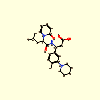 Cc1ccc([C@H](CC(=O)O)NC(=O)C(CC(C)C)n2ccccc2=O)cc1N1CCCCC1